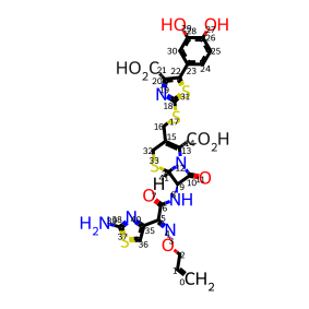 C=CCON=C(C(=O)N[C@@H]1C(=O)N2C(C(=O)O)=C(CSc3nc(C(=O)O)c(-c4ccc(O)c(O)c4)s3)CS[C@@H]12)c1csc(N)n1